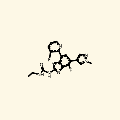 CCNC(=O)Nc1nc2c(F)c(-c3cnn(C)c3)cc(-c3ncccc3F)c2s1